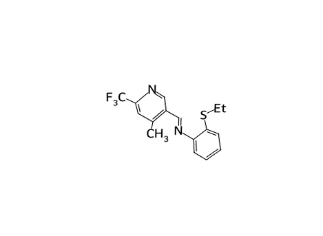 CCSc1ccccc1/N=C/c1cnc(C(F)(F)F)cc1C